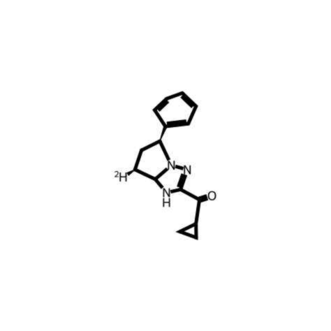 [2H][C@H]1C[C@@H](c2ccccc2)N2N=C(C(=O)C3CC3)NC12